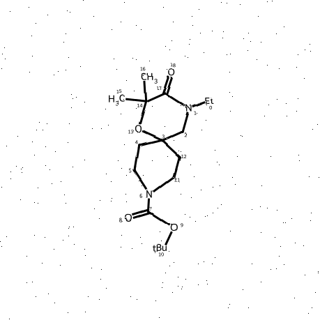 CCN1CC2(CCN(C(=O)OC(C)(C)C)CC2)OC(C)(C)C1=O